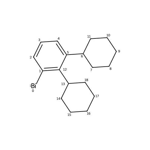 [Bi][c]1cccc(C2CCCCC2)c1C1CCCCC1